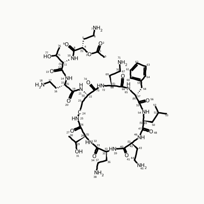 CC(=O)O[C@@H](CCN)C(=O)N[C@H](C(=O)N[C@@H](CCN)C(=O)N[C@H]1CCNC(=O)[C@H](C(C)O)NC(=O)[C@H](CCN)NC(=O)[C@H](CCN)NC(=O)[C@H](CC(C)C)NC(=O)[C@@H](Cc2ccccc2)NC(=O)[C@H](CCN)NC1=O)C(C)O